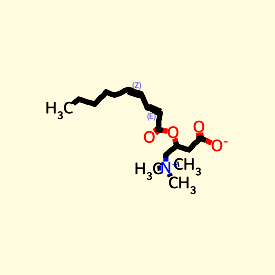 CCCCC/C=C\C=C\C(=O)OC(CC(=O)[O-])C[N+](C)(C)C